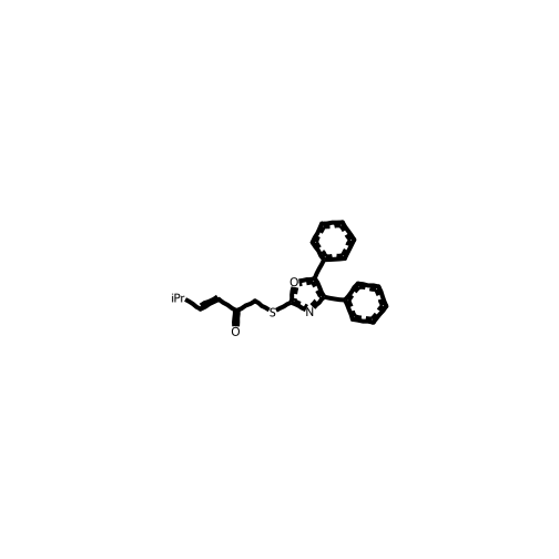 CC(C)/C=C/C(=O)CSc1nc(-c2ccccc2)c(-c2ccccc2)o1